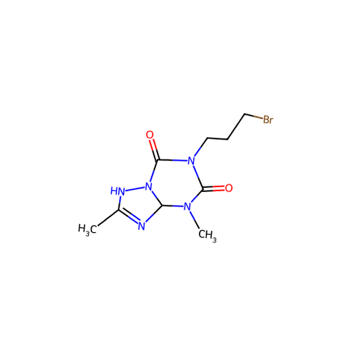 CC1=NC2N(C)C(=O)N(CCCBr)C(=O)N2N1